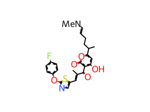 CN/C=C/CCC(C)c1cc(O)c(C(=O)/C(C)=C/c2cnc(Oc3ccc(F)cc3)s2)c(=O)o1